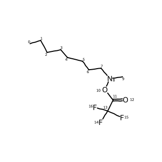 CCCCCCCCN(C)OC(=O)C(F)(F)F